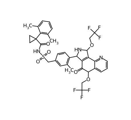 Cc1cc(CS(=O)(=O)NC(=O)C2(c3c(C)cccc3C)CC2)ccc1C1NC(OCC(F)(F)F)C2=C1C(=O)C(OCC(F)(F)F)c1cccnc12